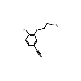 N#Cc1ccc(Br)c(OCCN)c1